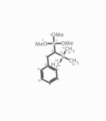 CO[Si](OC)(OC)C(Cc1ccccc1)[Si](C)(C)C